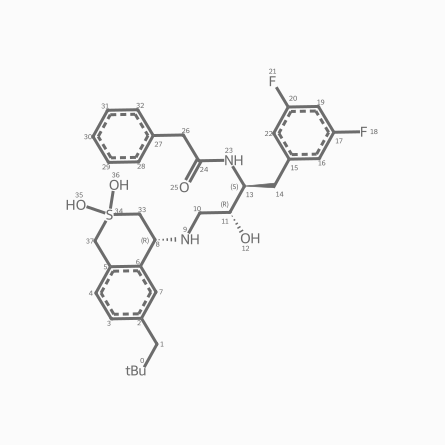 CC(C)(C)Cc1ccc2c(c1)[C@@H](NC[C@@H](O)[C@H](Cc1cc(F)cc(F)c1)NC(=O)Cc1ccccc1)CS(O)(O)C2